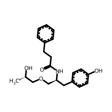 C[C@H](O)COC[C@H](Cc1ccc(O)cc1)NC(=O)CCc1ccccc1